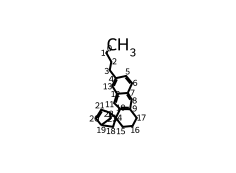 CCCCc1ccc2cc3c(cc2c1)C1(CCC3)CC2C=CC1C2